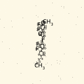 CCCCCC1CCC(c2ccc(C#CC3CCC(c4ccc(OC)c(F)c4F)OC3)c(F)c2F)CC1